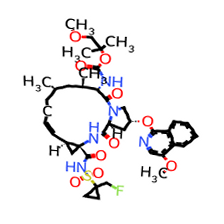 COCC(C)(C)OC(=O)N[C@@H]1C(=O)N2C[C@H](Oc3ncc(OC)c4ccccc34)C[C@H]2C(=O)N[C@]2(C(=O)NS(=O)(=O)C3(CF)CC3)C[C@H]2/C=C\CC[C@H](C)C[C@H]1C